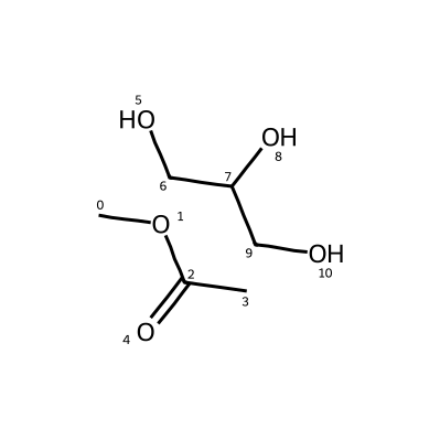 COC(C)=O.OCC(O)CO